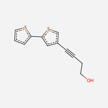 OCCC#Cc1csc(-c2cccs2)c1